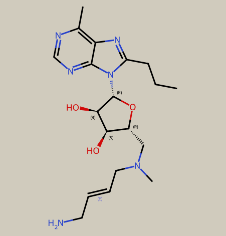 CCCc1nc2c(C)ncnc2n1[C@@H]1O[C@H](CN(C)C/C=C/CN)[C@@H](O)[C@H]1O